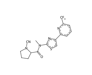 CN(C(=O)C1CCCN1C#N)c1nc(-c2cccc(C(F)(F)F)n2)cs1